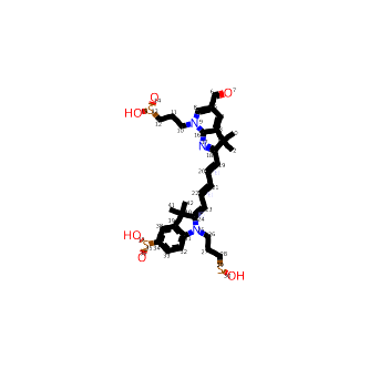 CC1(C)C2=CC(C=O)=CN(CCCS(=O)O)C2N=C1/C=C/C=C/C=C1/N(CCCSO)c2ccc(S(=O)O)cc2C1(C)C